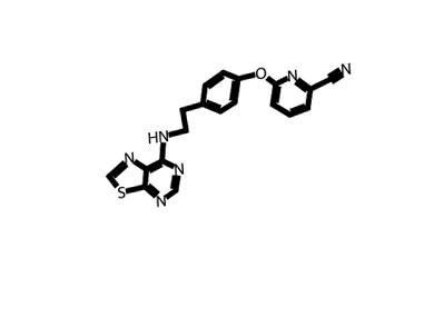 N#Cc1cccc(Oc2ccc(CCNc3ncnc4scnc34)cc2)n1